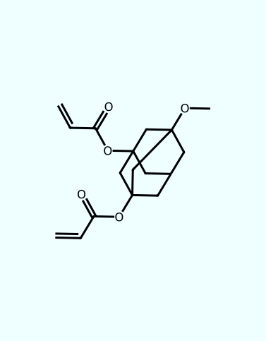 C=CC(=O)OC12CC3CC(OC)(C1)CC(OC(=O)C=C)(C3)C2